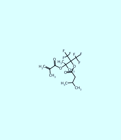 C=C(C)C(=O)OC(C)(C)C(OC(=O)CC(C)C)(C(F)(F)F)C(F)(F)F